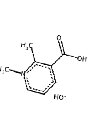 Cc1c(C(=O)O)ccc[n+]1C.[OH-]